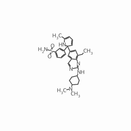 CCc1cc(C2(c3cccc(S(N)(=O)=O)c3)C=CC=C(C)N2)cc2cnc(NC3CCC(N(C)C)CC3)nc12